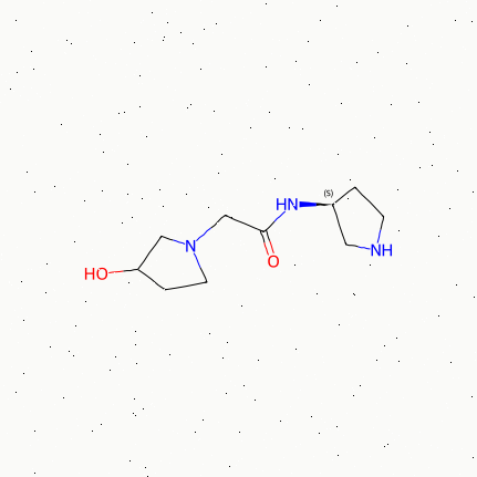 O=C(CN1CCC(O)C1)N[C@H]1CCNC1